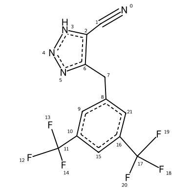 N#Cc1[nH]nnc1Cc1cc(C(F)(F)F)cc(C(F)(F)F)c1